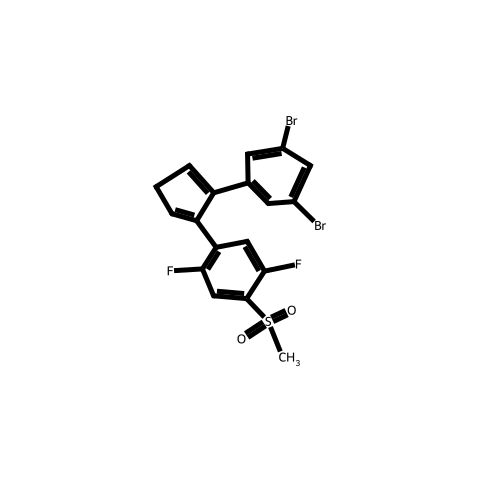 CS(=O)(=O)c1cc(F)c(C2=CCC=C2c2cc(Br)cc(Br)c2)cc1F